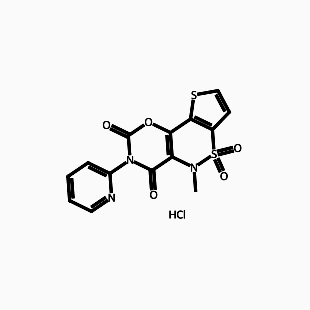 CN1c2c(oc(=O)n(-c3ccccn3)c2=O)-c2sccc2S1(=O)=O.Cl